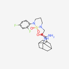 NC(=O)C12CC3CC(C1)C(NC(=O)CN1CCCN(c4ccc(F)cc4F)S1(=O)=O)C(C3)C2